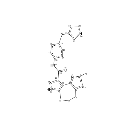 Cc1nc2c(s1)CCCc1[nH]cc(C(=O)Nc3ccc(Cn4ccnc4)cc3)c1-2